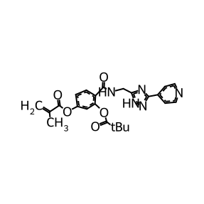 C=C(C)C(=O)Oc1ccc(C(=O)NCc2nc(-c3ccncc3)n[nH]2)c(OC(=O)C(C)(C)C)c1